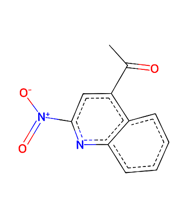 CC(=O)c1cc([N+](=O)[O-])nc2ccccc12